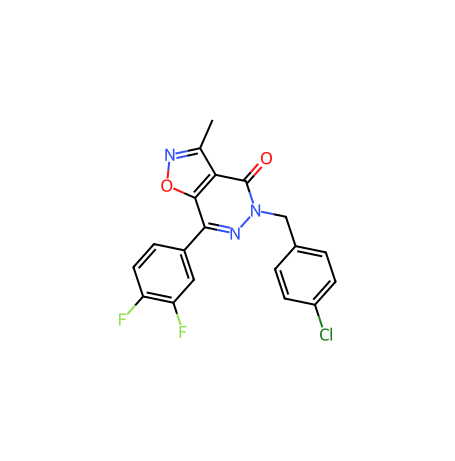 Cc1noc2c(-c3ccc(F)c(F)c3)nn(Cc3ccc(Cl)cc3)c(=O)c12